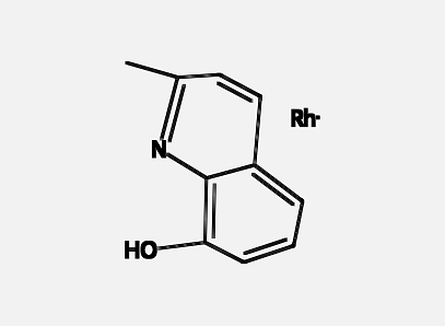 Cc1ccc2cccc(O)c2n1.[Rh]